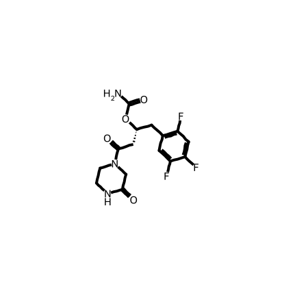 NC(=O)O[C@@H](CC(=O)N1CCNC(=O)C1)Cc1cc(F)c(F)cc1F